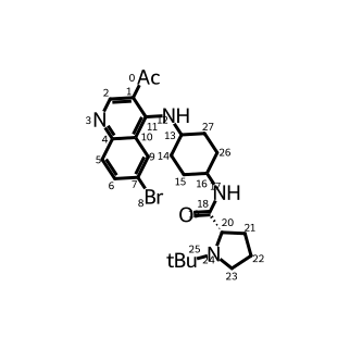 CC(=O)c1cnc2ccc(Br)cc2c1NC1CCC(NC(=O)[C@@H]2CCCN2C(C)(C)C)CC1